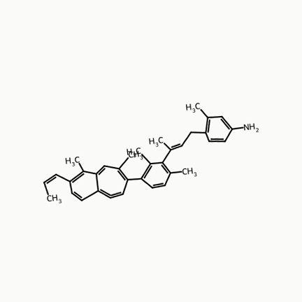 C/C=C\c1ccc2c(c1C)=CC(C)=C(c1ccc(C)c(/C(C)=C/Cc3ccc(N)cc3C)c1C)C=C=2